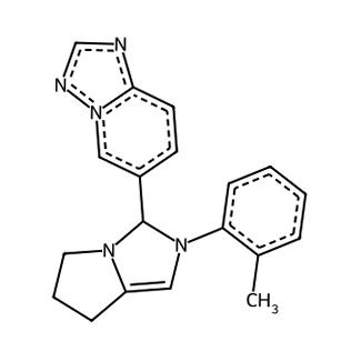 Cc1ccccc1N1C=C2CCCN2C1c1ccc2ncnn2c1